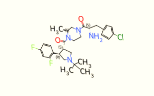 C[C@H]1CN(C(=O)[C@@H](N)Cc2ccc(Cl)cc2)CCN1C(=O)[C@@H]1CN(C(C)(C)C)C[C@H]1c1ccc(F)cc1F